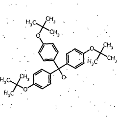 CC(C)(C)Oc1ccc(C([O])(c2ccc(OC(C)(C)C)cc2)c2ccc(OC(C)(C)C)cc2)cc1